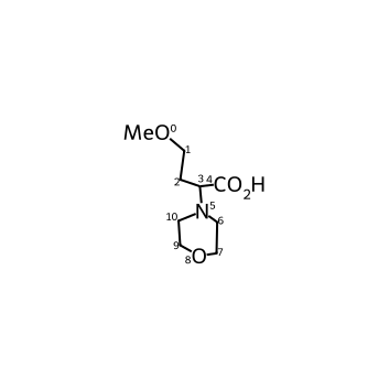 COCCC(C(=O)O)N1CCOCC1